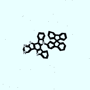 c1ccc2c(c1)-c1ccccc1C21c2ccccc2-c2ccc(-n3c4ccccc4c4c5sc6ncncc6c5c5sc6ccccc6c5c43)cc21